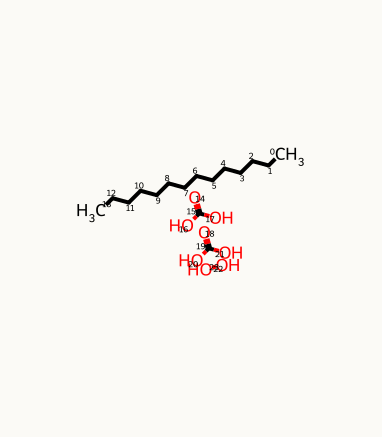 CCCCCCCCCCCCCC.O=C(O)O.O=C(O)O.OO